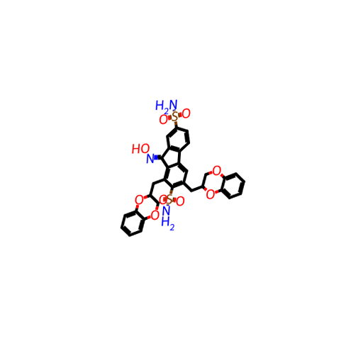 NS(=O)(=O)c1ccc2c(c1)C(=NO)c1c-2cc(CC2COc3ccccc3O2)c(S(N)(=O)=O)c1CC1COc2ccccc2O1